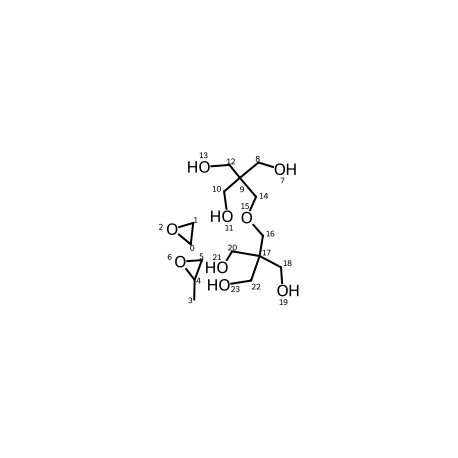 C1CO1.CC1CO1.OCC(CO)(CO)COCC(CO)(CO)CO